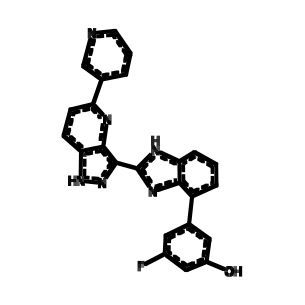 Oc1cc(F)cc(-c2cccc3[nH]c(-c4n[nH]c5ccc(-c6cccnc6)nc45)nc23)c1